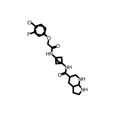 O=C(COc1ccc(Cl)c(F)c1)NC12CC(NC(=O)C3CNC4NCCC4C3)(C1)C2